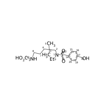 CCN(CC(C)(C)CCCNC(=O)O)S(=O)(=O)c1ccc(O)cc1